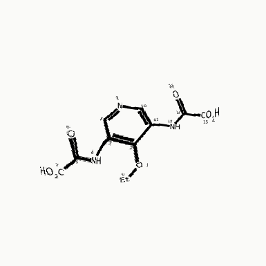 CCOc1c(NC(=O)C(=O)O)cncc1NC(=O)C(=O)O